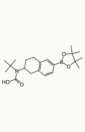 CC(C)(C)N(C(=O)O)C1CCc2cc(B3OC(C)(C)C(C)(C)O3)ccc2C1